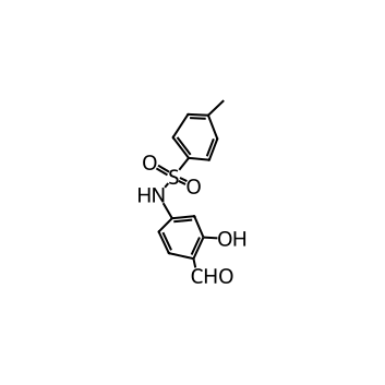 Cc1ccc(S(=O)(=O)Nc2ccc(C=O)c(O)c2)cc1